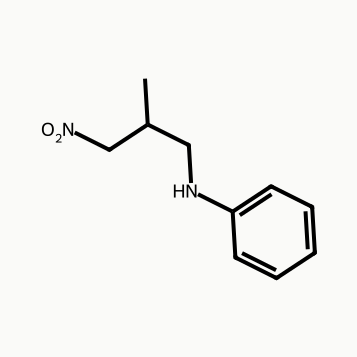 CC(CNc1ccccc1)C[N+](=O)[O-]